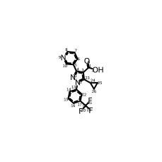 O=C(O)c1c(-c2cccnc2)nn(-c2cccc(C(F)(F)F)c2)c1C1CC1